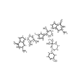 Nc1nc2c(ncn2[C@@H]2O[C@H](Cc3cn([C@H]4[C@@H](O)[C@H](n5cnc6c(=O)[nH]c(N)nc65)O[C@@H]4CO[P]4(O)OCC[C@H](c5cccc(Cl)c5)O4)nn3)[C@@H](O)[C@H]2O)c(=O)[nH]1